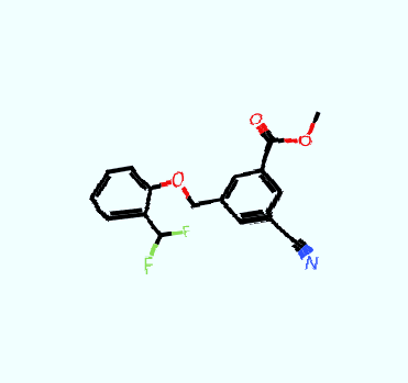 COC(=O)c1cc(C#N)cc(COc2ccccc2C(F)F)c1